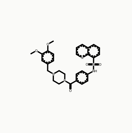 COc1ccc(CN2CCN(C(=O)c3ccc(NS(=O)(=O)c4cccc5cccnc45)cc3)CC2)cc1OC